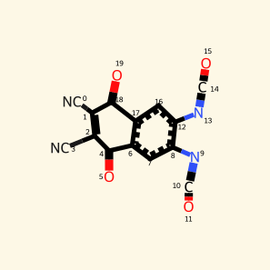 N#CC1=C(C#N)C(=O)c2cc(N=C=O)c(N=C=O)cc2C1=O